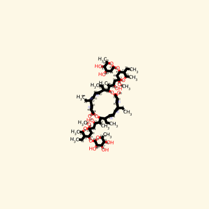 CCC1=C\C=C\C(CC)C(C(C)C(O)CC2(OC)CC(OC3OC(C)C(O)C(O)C3O)C(CC)C(C)O2)OC(=O)/C=C/C(CC)=C/C=C/C(CC)C(C(C)C(O)CC2(OC)CC(OC3CC(O)C(O)C(C)O3)C(CC)C(C)O2)OC(=O)\C=C\1